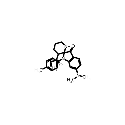 C=CC(=O)C1CCCNC12C(=O)c1ccc(N(C)C)cc1N2c1ccc(C)cc1